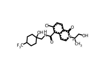 C[C@H](CO)n1ccc2c(C(=O)NCC3(O)CCC(C(F)(F)F)CC3)c(Cl)ccc2c1=O